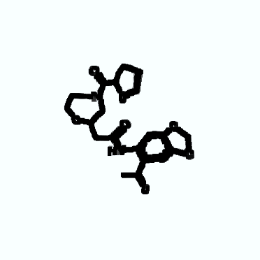 CC(=O)c1cc2c(cc1NC(=O)CC1CN(C(=O)C3CCCO3)CCO1)OCO2